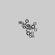 CC(C)(C)C(=O)[C@@H](NC(=O)[C@H](Cc1ccc(O)c(Cl)c1)NC(=O)c1cc(Cl)cc(Cl)c1)C1CCCC1